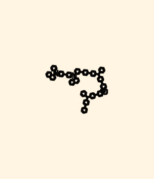 c1ccc(-c2ccc(C(c3ccccc3)c3ccc(-c4ccc5oc6ccc(-c7ccc(C(c8ccccc8)c8ccc(-c9ccc(-c%10cccc(N(c%11ccc(-c%12ccc(N(c%13ccccc%13)c%13cccc%14ccccc%13%14)cc%12)cc%11)c%11cccc%12ccccc%11%12)c%10)cc9)cc8)cc7)cc6c5c4)cc3)cc2)cc1